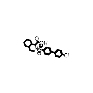 O=C(O)C1C2CCCCC2CCN1S(=O)(=O)c1ccc(-c2ccc(Cl)cc2)cc1